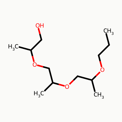 CCCOC(C)COC(C)COC(C)CO